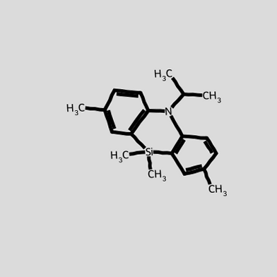 Cc1ccc2c(c1)[Si](C)(C)c1cc(C)ccc1N2C(C)C